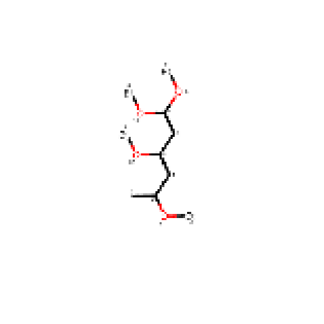 CCOC(C)CC(CC(OCC)OCC)OCC